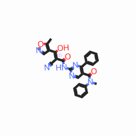 Cc1oncc1/C(O)=C(\C#N)C(=O)Nc1ncc(C(=O)N(C)c2ccccc2)c(-c2ccccc2)n1